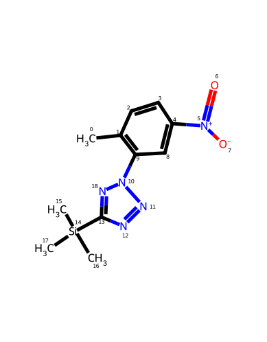 Cc1ccc([N+](=O)[O-])cc1-n1nnc([Si](C)(C)C)n1